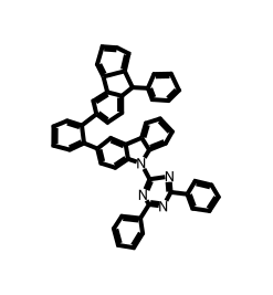 c1ccc(-c2nc(-c3ccccc3)nc(-n3c4ccccc4c4cc(-c5ccccc5-c5ccc6c(c5)-c5ccccc5C6c5ccccc5)ccc43)n2)cc1